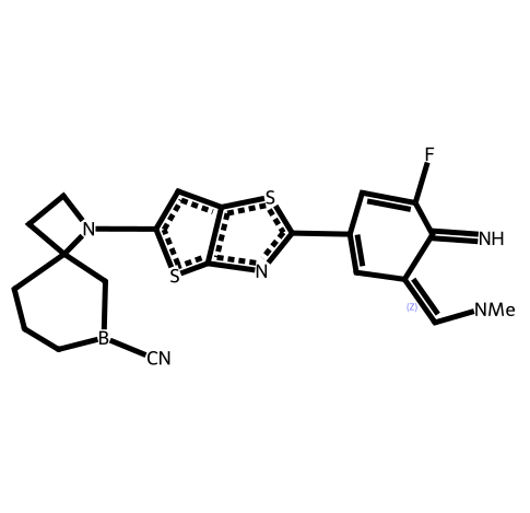 CN/C=C1/C=C(c2nc3sc(N4CCC45CCCB(C#N)C5)cc3s2)C=C(F)C1=N